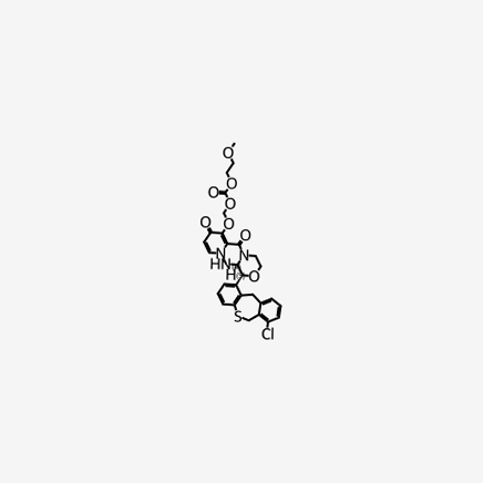 COCCOC(=O)OCOc1c2n(ccc1=O)N[C@@H]1[C@H](c3cccc4c3Cc3cccc(Cl)c3CS4)OCCN1C2=O